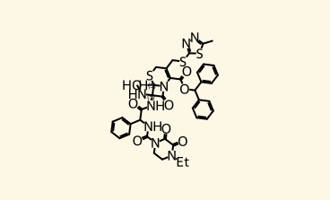 CCN1CCN(C(=O)NC(C(=O)N[C@]2(NO)C(=O)N3C(C(=O)OC(c4ccccc4)c4ccccc4)=C(CSc4nnc(C)s4)CS[C@H]32)c2ccccc2)C(=O)C1=O